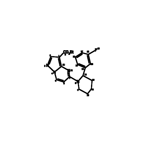 CCOC(=O)c1cnn2ccc(N3CCCCC3c3cccc(F)c3)nc12